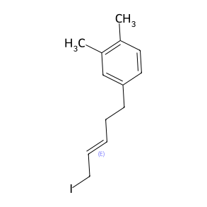 Cc1ccc(CC/C=C/CI)cc1C